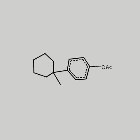 CC(=O)Oc1ccc(C2(C)CCCCC2)cc1